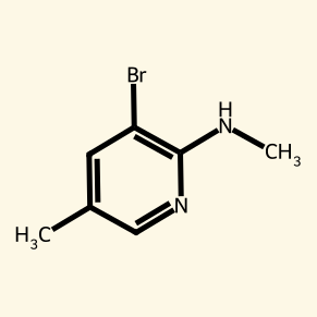 CNc1ncc(C)cc1Br